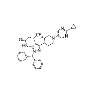 O=C1CC(C(F)(F)F)c2c(C3CCN(c4cnc(C5CC5)nc4)CC3)nn(C(c3ccccc3)c3ccccc3)c2N1